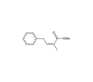 COC(=O)C(C)=CCc1ccccc1